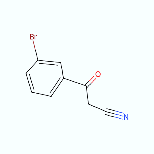 N#CCC(=O)c1cccc(Br)c1